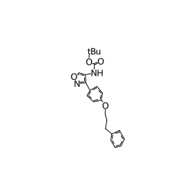 CC(C)(C)OC(=O)Nc1conc1-c1ccc(OCCCc2ccccc2)cc1